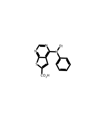 CCN(c1ccccc1)c1ncnc2sc(C(=O)O)cc12